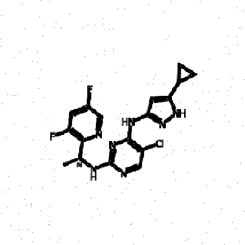 C[C@H](Nc1ncc(Cl)c(Nc2cc(C3CC3)[nH]n2)n1)c1ncc(F)cc1F